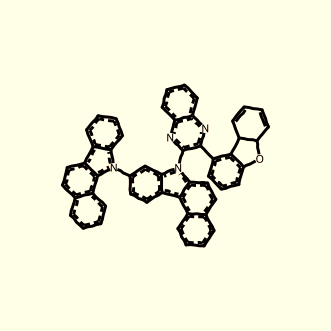 C1=CC2Oc3cccc(-c4nc5ccccc5nc4-n4c5cc(-n6c7ccccc7c7ccc8ccccc8c76)ccc5c5c6ccccc6ccc54)c3C2C=C1